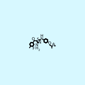 Cc1ccc(C(=O)c2sc(Nc3ccc(OCC(C)N(C)C)cc3)nc2N)cc1F